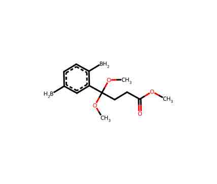 Bc1ccc(B)c(C(CCC(=O)OC)(OC)OC)c1